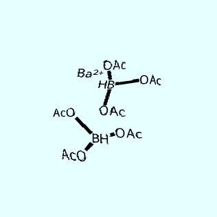 CC(=O)O[BH-](OC(C)=O)OC(C)=O.CC(=O)O[BH-](OC(C)=O)OC(C)=O.[Ba+2]